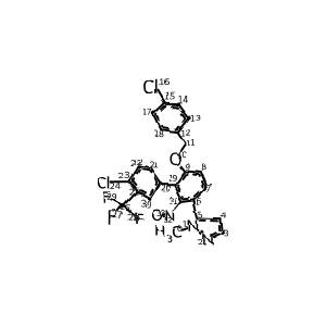 Cn1nccc1-c1ccc(OCc2ccc(Cl)cc2)c(-c2ccc(Cl)c(C(F)(F)F)c2)c1N=O